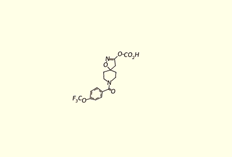 O=C(O)OC1=NOC2(CCN(C(=O)c3ccc(OC(F)(F)F)cc3)CC2)C1